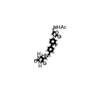 CC(=O)NC[C@H]1CN(c2ccc(-c3ccc(CNCc4c[nH]c(=O)[nH]c4=O)cc3)c(F)c2)C(=O)O1